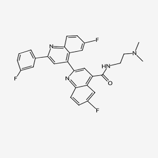 CN(C)CCNC(=O)c1cc(-c2cc(-c3cccc(F)c3)nc3ccc(F)cc23)nc2ccc(F)cc12